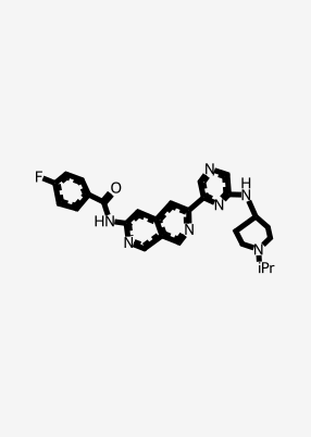 CC(C)N1CCC(Nc2cncc(-c3cc4cc(NC(=O)c5ccc(F)cc5)ncc4cn3)n2)CC1